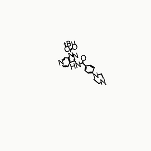 CN1CCN(c2ccc(C(=O)Nc3nn(C(=O)OC(C)(C)C)c4cnccc34)cc2)CC1